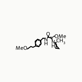 COCCCc1ccc(CNC(=O)[C@@H](COC)NC(C)=C2CC2)cc1